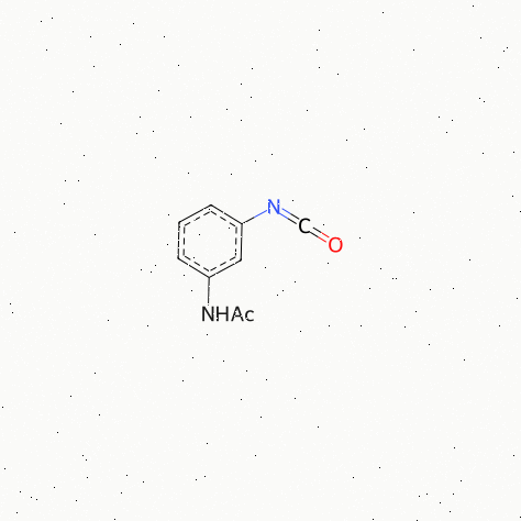 CC(=O)Nc1cccc(N=C=O)c1